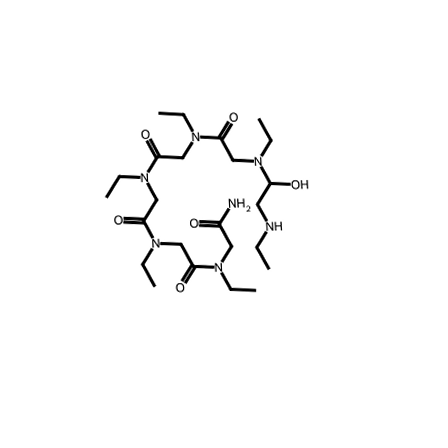 CCNCC(O)N(CC)CC(=O)N(CC)CC(=O)N(CC)CC(=O)N(CC)CC(=O)N(CC)CC(N)=O